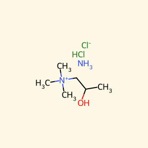 CC(O)C[N+](C)(C)C.Cl.N.[Cl-]